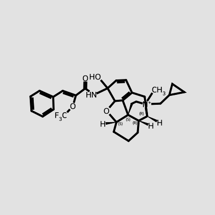 C[N+]1(CC2CC2)CC[C@]23C4=C5C=CC(O)(NC(=O)C(=Cc6ccccc6)OC(F)(F)F)C4O[C@H]2CCC[C@H]3[C@H]1C5